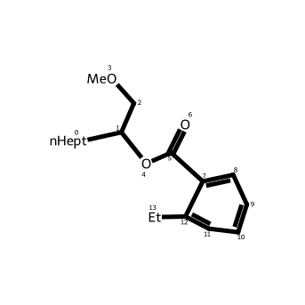 CCCCCCCC(COC)OC(=O)c1ccccc1CC